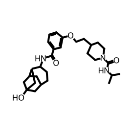 CC(C)NC(=O)N1CCC(CCOc2cccc(C(=O)NC3CCC4CC5CC(O)(C4)CC53)c2)CC1